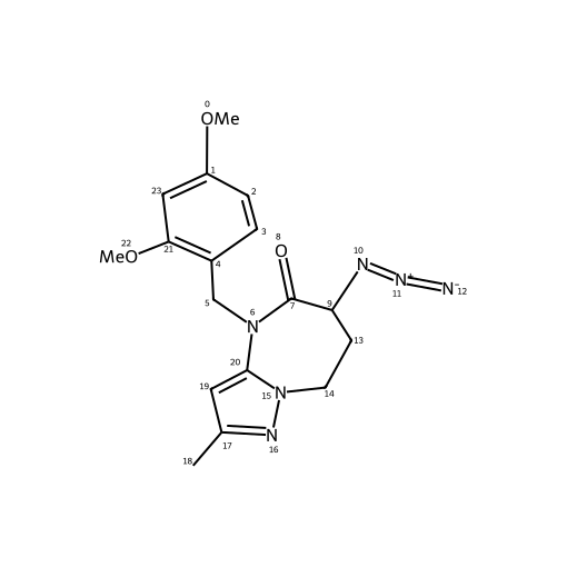 COc1ccc(CN2C(=O)C(N=[N+]=[N-])CCn3nc(C)cc32)c(OC)c1